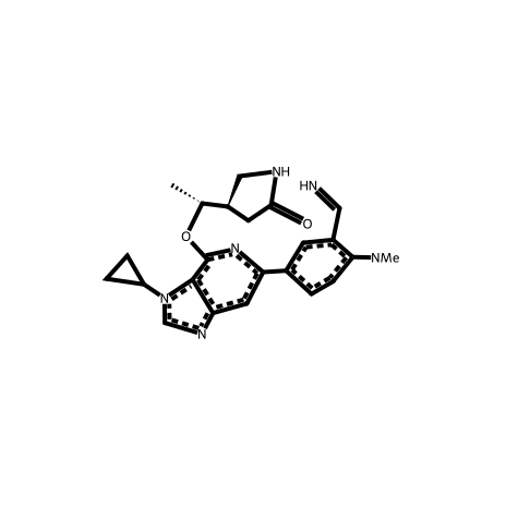 CNc1ccc(-c2cc3ncn(C4CC4)c3c(O[C@H](C)[C@H]3CNC(=O)C3)n2)cc1C=N